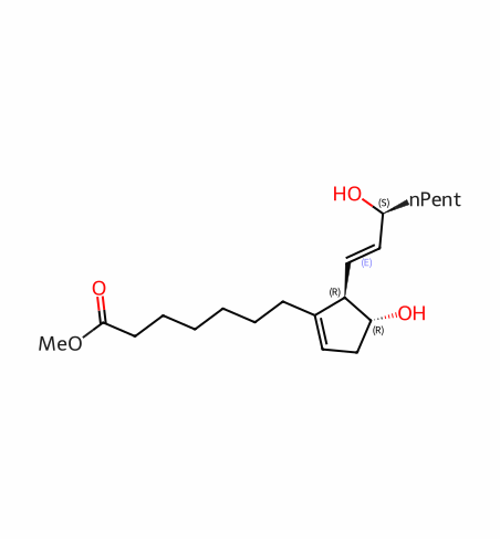 CCCCC[C@H](O)/C=C/[C@@H]1C(CCCCCCC(=O)OC)=CC[C@H]1O